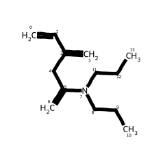 C=CC(=C)CC(=C)N(CCC)CCC